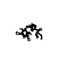 CCN(CC)C(=O)n1ccc(Sc2c(C)c(Cl)cc(Cl)c2C)n1